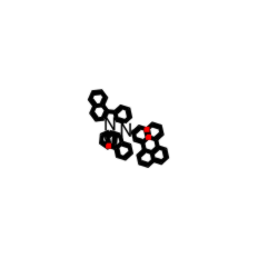 c1ccc(-c2cccc3cccc(-c4cccc(N(c5cccc6ccccc56)c5cccc6c7c8ccccc8ccc7n(-c7ccccc7)c56)c4)c23)cc1